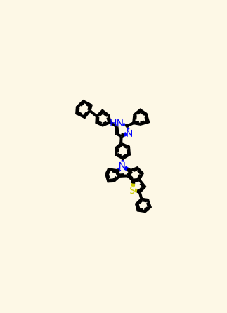 C1=C(c2ccc(-c3ccccc3)cc2)NC(c2ccccc2)N=C1c1ccc(-n2c3ccccc3c3c4sc(-c5ccccc5)cc4ccc32)cc1